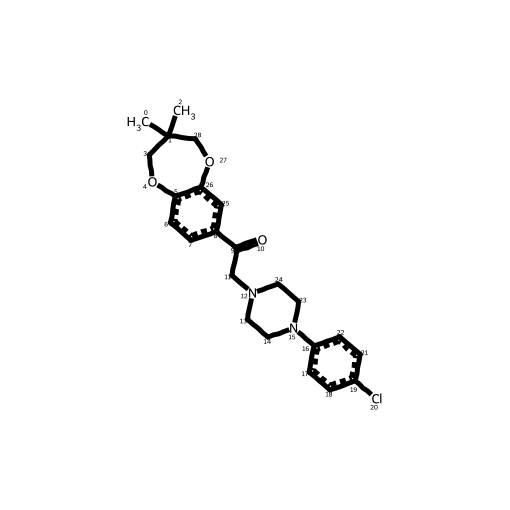 CC1(C)COc2ccc(C(=O)CN3CCN(c4ccc(Cl)cc4)CC3)cc2OC1